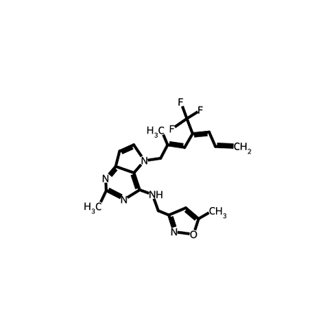 C=C/C=C(\C=C(/C)Cn1ccc2nc(C)nc(NCc3cc(C)on3)c21)C(F)(F)F